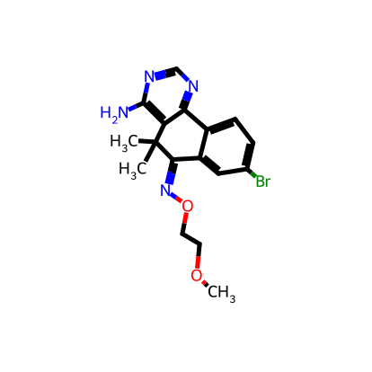 COCCO/N=C1\c2cc(Br)ccc2-c2ncnc(N)c2C1(C)C